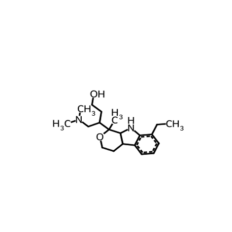 CCc1cccc2c1NC1C2CCOC1(C)C(CCO)CN(C)C